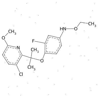 CCONc1ccc(OC(C)(C)c2nc(OC)ccc2Cl)c(F)c1